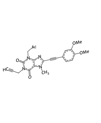 C#CCn1c(=O)c2c(nc(C#Cc3ccc(OC)c(OC)c3)n2C)n(CC(C)=O)c1=O